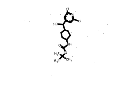 CC(C)(C)OC(=O)NC1CCC(C(O)c2cc(Cl)nc(Cl)c2)CC1